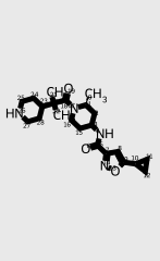 C[C@@H]1CC(NC(=O)c2cc(C3CC3)on2)CCN1C(=O)C(C)(C)C1CCNCC1